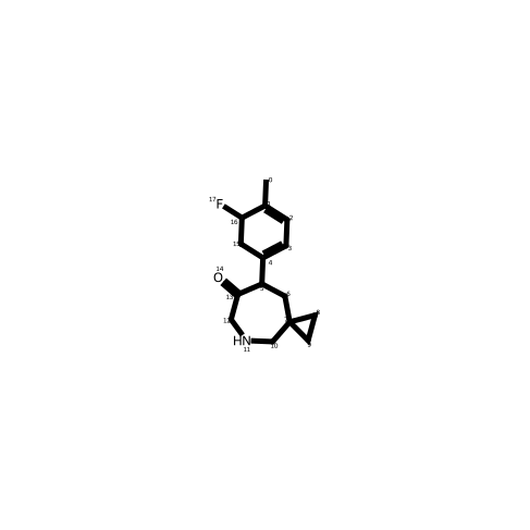 CC1=CC=C(C2CC3(CC3)CNCC2=O)CC1F